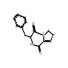 O=C1NC(Cc2ccccc2)C(=O)N2CCC=C12